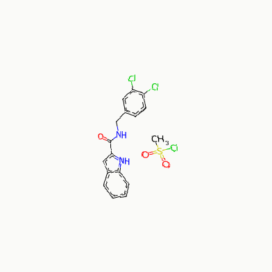 CS(=O)(=O)Cl.O=C(NCc1ccc(Cl)c(Cl)c1)c1cc2ccccc2[nH]1